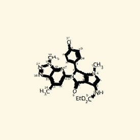 CCOC(=O)Nc1cn(C)c2c1C(=O)N(c1cc(C)c3nnn(C)c3n1)C2c1ccc(Cl)cc1